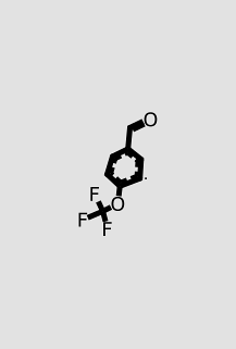 O=Cc1c[c]c(OC(F)(F)F)cc1